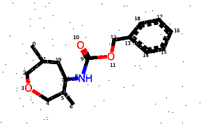 CC1COCC(C)C(NC(=O)OCc2ccccc2)C1